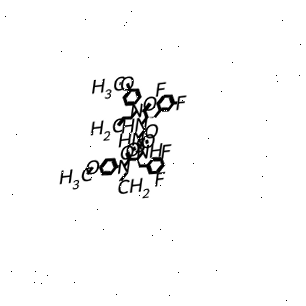 C=CCN(C(=O)[C@H](Cc1cc(F)cc(F)c1)NC(=O)NS(=O)(=O)N[C@@H](Cc1cc(F)cc(F)c1)C(=O)N(CC=C)c1ccc(OC)cc1)c1ccc(OC)cc1